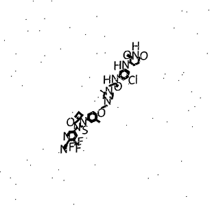 Cc1cc(N2C(=S)N(c3cnc(C#N)c(C(F)(F)F)c3)C(=O)C23CCC3)ccc1OCCN1CCN(CC(=O)Nc2cc(Cl)cc(NC3CCC(=O)NC3=O)c2)[C@H](C)C1